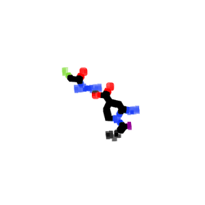 C=C(I)n1ccc(C(=O)ONNC(=O)CF)cc1=N